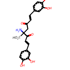 NC(CC(=O)C=Cc1ccc(O)c(O)c1)(C(=O)O)C(=O)C=Cc1ccc(O)c(O)c1